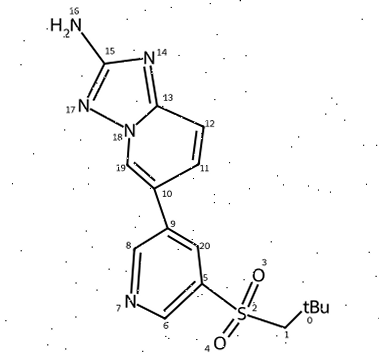 CC(C)(C)CS(=O)(=O)c1cncc(-c2ccc3nc(N)nn3c2)c1